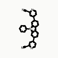 N#Cc1cc(-c2ccc3c4ccc(-c5ccnc(C#N)c5)cc4n(-c4ccccc4)c3c2)ccn1